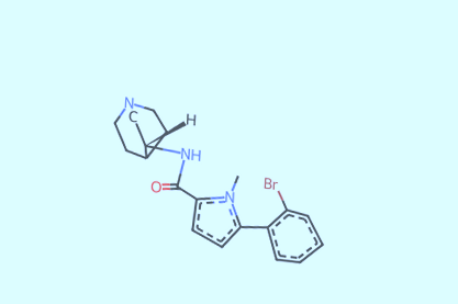 Cn1c(C(=O)N[C@H]2CN3CCC2CC3)ccc1-c1ccccc1Br